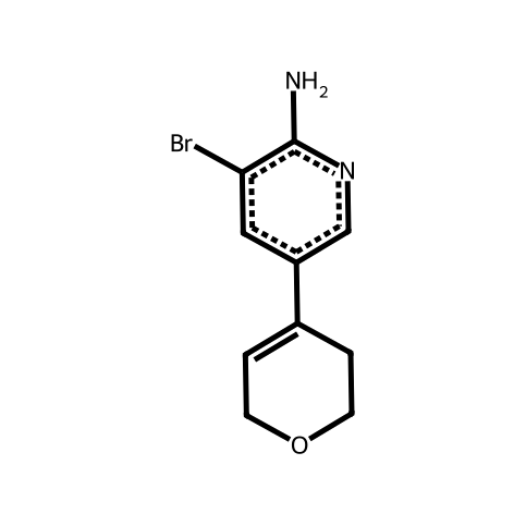 Nc1ncc(C2=CCOCC2)cc1Br